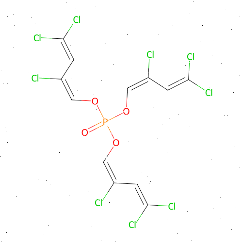 O=P(O/C=C(/Cl)C=C(Cl)Cl)(O/C=C(/Cl)C=C(Cl)Cl)O/C=C(/Cl)C=C(Cl)Cl